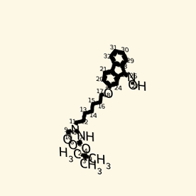 CC(C)(C)OC(=O)NN(C=O)CCCCCCCOc1ccc2c(c1)/C(=N\O)c1ccccc1-2